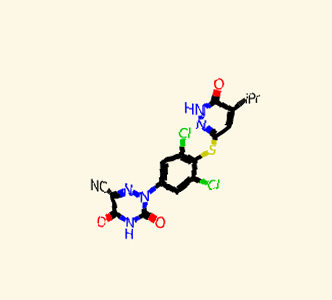 CC(C)c1cc(Sc2c(Cl)cc(-n3nc(C#N)c(=O)[nH]c3=O)cc2Cl)n[nH]c1=O